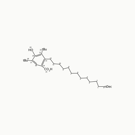 CCCCCCCCCCCCCCCCCCCCCCc1c(C(=O)O)cc(C(C)(C)C)c(O)c1C(C)(C)C